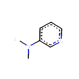 CC(=O)N(C)c1cccnc1